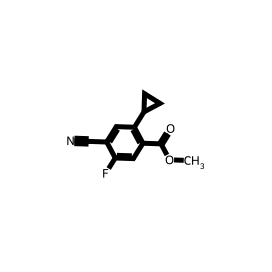 COC(=O)c1cc(F)c(C#N)cc1C1CC1